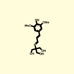 COc1cc(/C=C/C=N/C(CO)(CO)CO)cc(OC)c1O